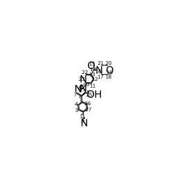 N#Cc1ccc(-c2cnn(-c3ccc(C(=O)N4CCOCC4)cn3)c2O)cc1